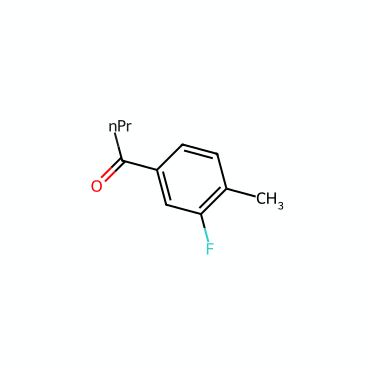 CCCC(=O)c1ccc(C)c(F)c1